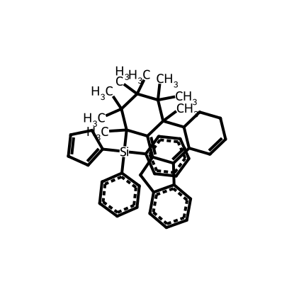 CC12C(=C3Cc4ccccc4C3=C3C=CCCC31)C(C)([Si](C1=CC=CC1)(c1ccccc1)c1ccccc1)C(C)(C)C(C)(C)C2(C)C